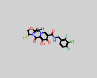 O=C(NCc1ccc(F)c(Cl)c1F)c1cn2c(c(O)c1=O)C(=O)N1C(S)CO[C@@]13CCC[C@@H]23